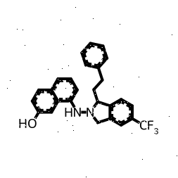 Oc1ccc2cccc(NN3Cc4cc(C(F)(F)F)ccc4C3CCc3ccccc3)c2c1